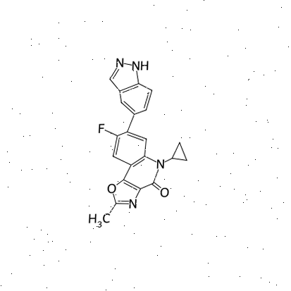 Cc1nc2c(=O)n(C3CC3)c3cc(-c4ccc5[nH]ncc5c4)c(F)cc3c2o1